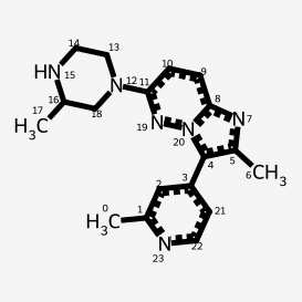 Cc1cc(-c2c(C)nc3ccc(N4CCNC(C)C4)nn23)ccn1